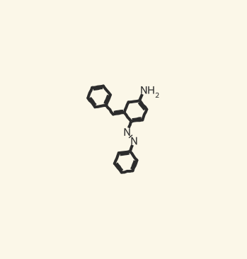 NC1=CC=C(N=Nc2ccccc2)C(=Cc2ccccc2)C1